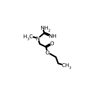 CCCOC(=O)CN(C)C(=N)N